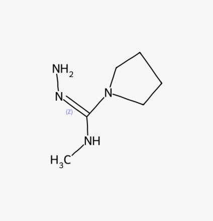 CN/C(=N/N)N1CCCC1